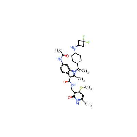 CSc1cc(C)[nH]c(=O)c1CNC(=O)c1c(C)n([C@H](C)[C@H]2CC[C@H](NC3CC(F)(F)C3)CC2)c2cc(NC(C)=O)ccc12